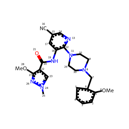 COc1ccccc1CN1CCN(c2ncc(C#N)cc2NC(=O)c2cn(C)nc2OC)CC1